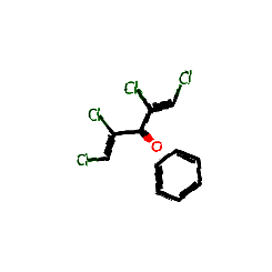 O=C(/C(Cl)=C/Cl)/C(Cl)=C/Cl.c1ccccc1